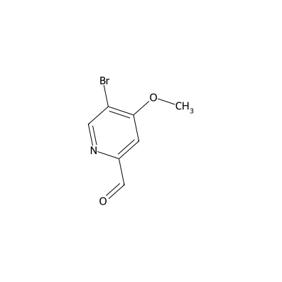 COc1cc(C=O)ncc1Br